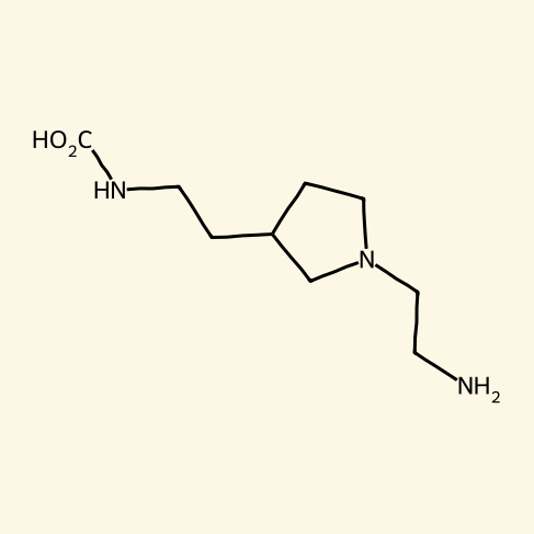 NCCN1CCC(CCNC(=O)O)C1